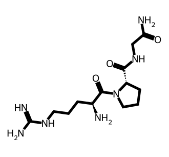 N=C(N)NCCC[C@H](N)C(=O)N1CCC[C@H]1C(=O)NCC(N)=O